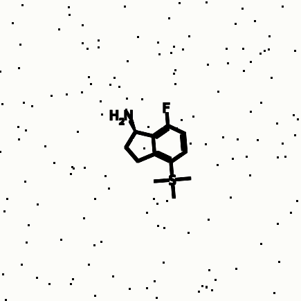 CS(C)(C)c1ccc(F)c2c1CC[C@H]2N